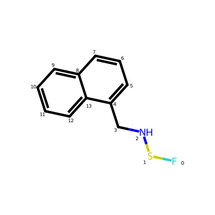 FSNCc1cccc2ccccc12